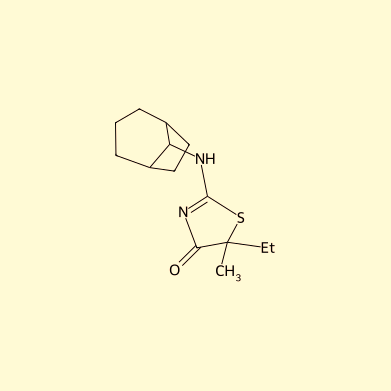 CCC1(C)SC(NC2C3CCCC2CC3)=NC1=O